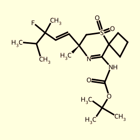 CC(C)C(C)(F)/C=C/[C@]1(C)CS(=O)(=O)C2(CCC2)C(NC(=O)OC(C)(C)C)=N1